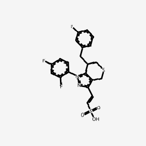 O=S(=O)(O)C=Cc1nn(-c2ccc(F)cc2F)c2c1CSCC2Cc1cccc(F)c1